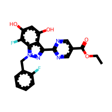 CCOC(=O)c1cnc(-c2nn(Cc3ccccc3F)c3c(F)c(O)cc(O)c23)nc1